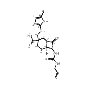 C=CCNC(=O)NC1C(=O)N2CC(CSc3nnc(C)s3)(C(=O)O)CS[C@H]12